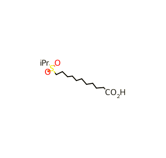 CC(C)S(=O)(=O)CCCCCCCCCCC(=O)O